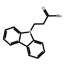 CCC(C)C(=O)CCn1c2ccccc2c2ccccc21